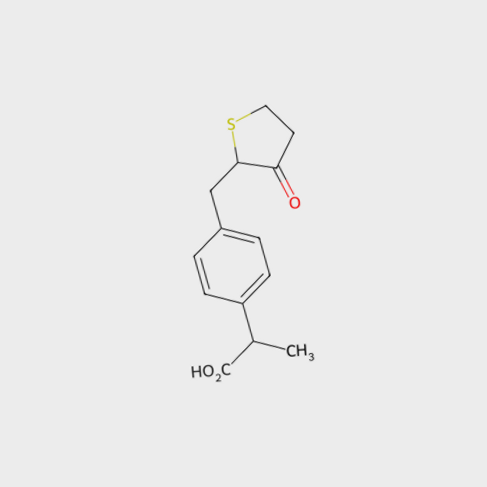 CC(C(=O)O)c1ccc(CC2SCCC2=O)cc1